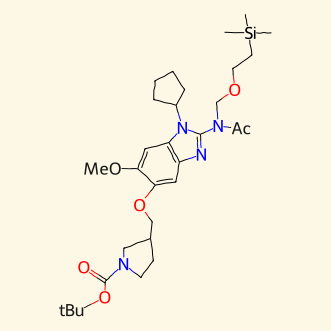 COc1cc2c(cc1OCC1CCN(C(=O)OC(C)(C)C)C1)nc(N(COCC[Si](C)(C)C)C(C)=O)n2C1CCCC1